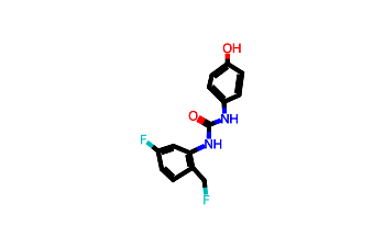 O=C(Nc1ccc(O)cc1)Nc1cc(F)ccc1CF